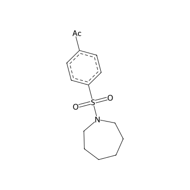 CC(=O)c1ccc(S(=O)(=O)N2CCCCCC2)cc1